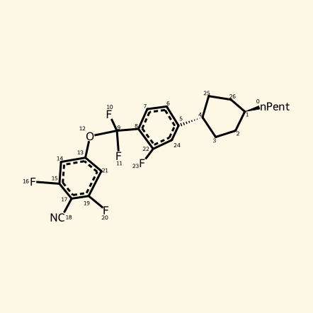 CCCCC[C@H]1CC[C@H](c2ccc(C(F)(F)Oc3cc(F)c(C#N)c(F)c3)c(F)c2)CC1